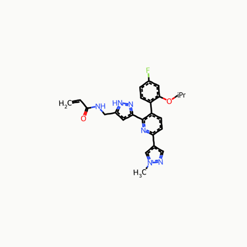 C=CC(=O)NCc1cc(-c2nc(-c3cnn(C)c3)ccc2-c2ccc(F)cc2OC(C)C)n[nH]1